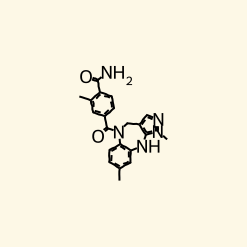 Cc1ccc2c(c1)Nc1c(cnn1C)CN2C(=O)c1ccc(C(N)=O)c(C)c1